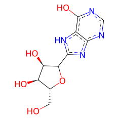 OC[C@H]1OC(c2nc3ncnc(O)c3[nH]2)[C@H](O)[C@@H]1O